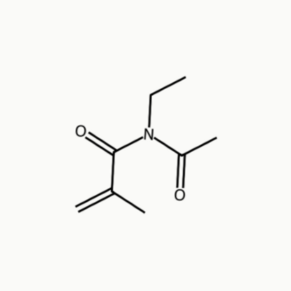 C=C(C)C(=O)N(CC)C(C)=O